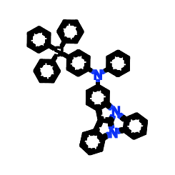 c1ccc(N(c2ccc([Si](c3ccccc3)(c3ccccc3)c3ccccc3)cc2)c2ccc3c4c5ccccc5n5c6ccccc6n(c3c2)c45)cc1